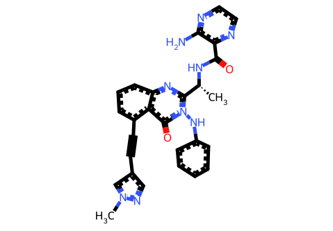 C[C@@H](NC(=O)c1nccnc1N)c1nc2cccc(C#Cc3cnn(C)c3)c2c(=O)n1Nc1ccccc1